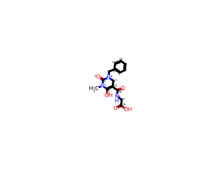 CN1C(=O)N(Cc2ccccc2)CC(C(=O)NCC(=O)O)=C1O